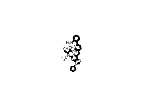 CCC(C(C)O)N(N)c1nc(Cc2ccc(-c3ccccc3N)nc2)c2ncn(C3CCCC3)c2n1